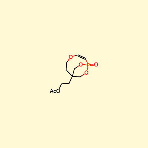 CC(=O)OCCC12CCOC=CP(=O)(OC1)OC2